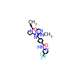 CC#CC(=O)N1CCCC1c1nc(-c2ccc(C(=O)Nc3cc(C(F)(F)F)ccn3)cc2)c2c(NC)nccn12